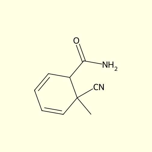 CC1(C#N)C=CC=CC1C(N)=O